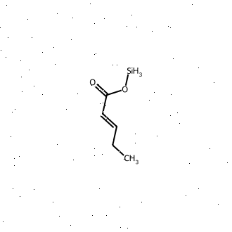 CCC=CC(=O)O[SiH3]